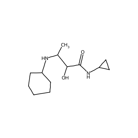 CC(NC1CCCCC1)C(O)C(=O)NC1CC1